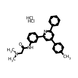 Cc1ccc(-c2cc(-c3ccccc3)nc(-c3cccc(NC(=O)CN(C)C)c3)c2)cc1.Cl.Cl